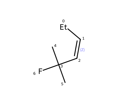 CC/C=C\C(C)(C)F